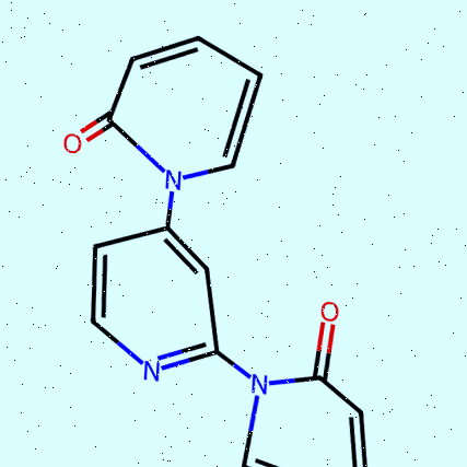 O=c1ccccn1-c1ccnc(-n2ccccc2=O)c1